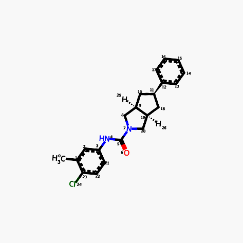 Cc1cc(NC(=O)N2C[C@H]3C[C@@H](c4ccccc4)C[C@H]3C2)ccc1Cl